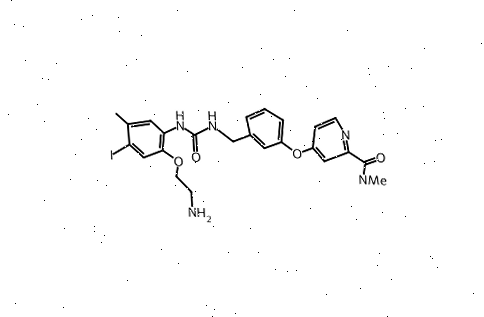 CNC(=O)c1cc(Oc2cccc(CNC(=O)Nc3cc(C)c(I)cc3OCCN)c2)ccn1